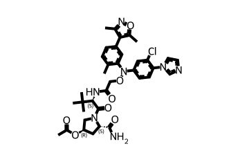 CC(=O)O[C@@H]1C[C@@H](C(N)=O)N(C(=O)[C@@H](NC(=O)CON(c2ccc(-n3ccnc3)c(Cl)c2)c2cc(-c3c(C)noc3C)ccc2C)C(C)(C)C)C1